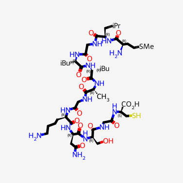 CC[C@@H](C)[C@@H](NC(=O)CNC(=O)[C@@H](CC(C)C)NC(=O)[C@H](N)CCSC)C(=O)N[C@@H](C(=O)N[C@H](C)C(=O)NCC(=O)N[C@H](CCCCN)C(=O)N[C@H](CC(N)=O)C(=O)N[C@H](CO)C(=O)NCC(=O)N[C@H](CS)C(=O)O)[C@H](C)CC